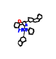 c1ccc([N+]2=C(c3nc(-c4ccc5c(ccc6ccccc65)c4)cc4oc5ccccc5c34)NC2c2ccc3ccccc3c2)cc1